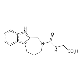 O=C(O)CNC(=O)N1CCCc2c([nH]c3ccccc23)C1